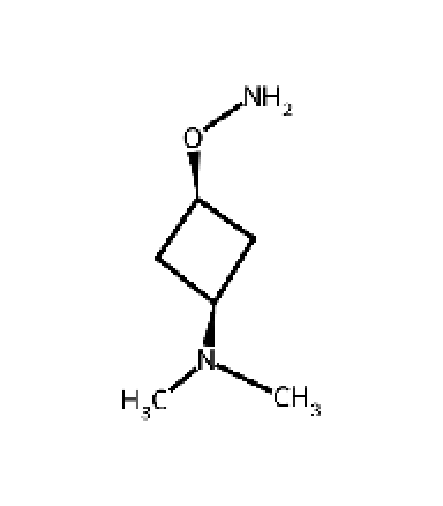 CN(C)[C@H]1C[C@@H](ON)C1